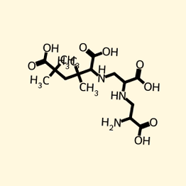 CC(C)(CC(C)(C)C(NCC(NCC(N)C(=O)O)C(=O)O)C(=O)O)C(=O)O